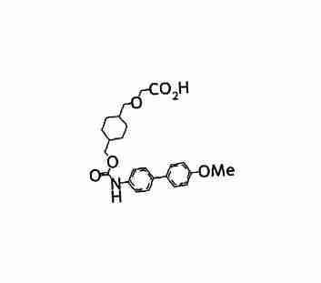 COc1ccc(-c2ccc(NC(=O)OCC3CCC(COCC(=O)O)CC3)cc2)cc1